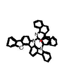 c1ccc(-c2nc(-n3c4ccc5c6ccccc6oc5c4c4ccc5c6ccccc6n(-c6ccccc6)c5c43)nc3c2ccc2ccccc23)cc1